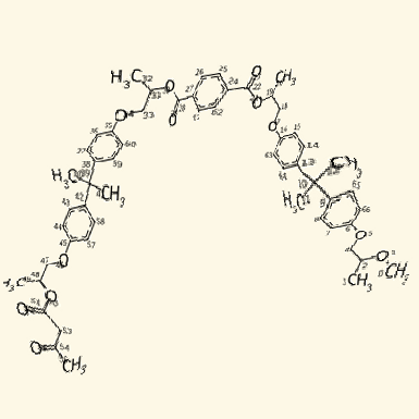 COC(C)COc1ccc(C(C)(C)c2ccc(OCC(C)OC(=O)c3ccc(C(=O)OC(C)COc4ccc(C(C)(C)c5ccc(OCC(C)OC(=O)CC(C)=O)cc5)cc4)cc3)cc2)cc1